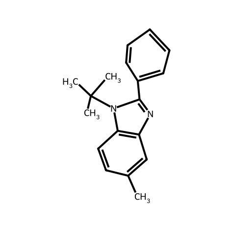 Cc1ccc2c(c1)nc(-c1ccccc1)n2C(C)(C)C